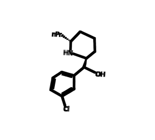 CCC[C@@H]1CCC[C@@H](C(O)c2cccc(Cl)c2)N1